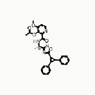 COc1ccnc(C(=O)N[C@@H](C)c2noc(C3C(c4ccccc4)C3c3ccccc3)n2)c1OC(C)=O